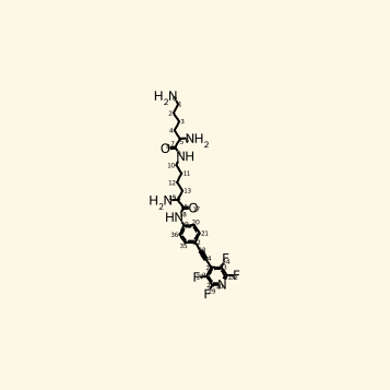 NCCCCC(N)C(=O)NCCCCC(N)C(=O)Nc1ccc(C#Cc2c(F)c(F)nc(F)c2F)cc1